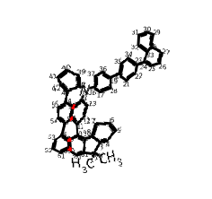 CC1(C)c2ccccc2-c2c(-c3ccc(N(c4ccc(-c5ccc(-c6cccc7ccccc67)cc5)cc4)c4ccccc4-c4ccc(-c5ccccc5)cc4)cc3)cccc21